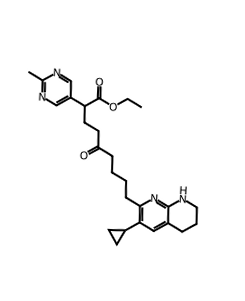 CCOC(=O)C(CCC(=O)CCCCc1nc2c(cc1C1CC1)CCCN2)c1cnc(C)nc1